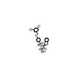 O=C(NO)C1(NS(=O)(=O)c2ccc(OCc3cc(Cl)cc(Cl)c3)cc2)C2Cc3ccccc3C21